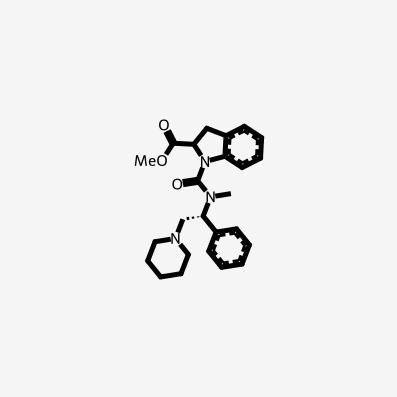 COC(=O)C1Cc2ccccc2N1C(=O)N(C)[C@@H](CN1CCCCC1)c1ccccc1